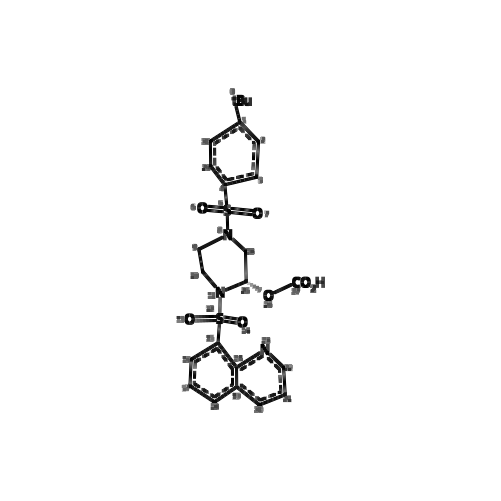 CC(C)(C)c1ccc(S(=O)(=O)N2CCN(S(=O)(=O)c3cccc4cccnc34)[C@@H](OC(=O)O)C2)cc1